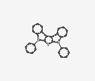 c1ccc(-n2c3ccccc3c3c4c5ccccc5n(-c5ccccc5)c4sc32)cc1